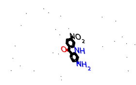 Nc1ccc2c(=O)c3ccc([N+](=O)[O-])cc3[nH]c2c1